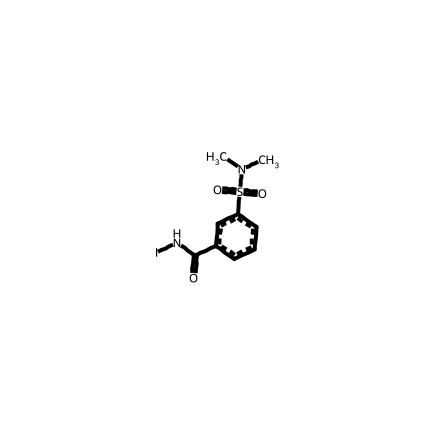 CN(C)S(=O)(=O)c1cccc(C(=O)NI)c1